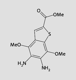 COC(=O)c1cc2c(OC)c(N)c(N)c(OC)c2s1